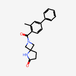 Cc1cc(-c2ccccc2)ccc1C(=O)N1CC2(CCC(=O)N2)C1